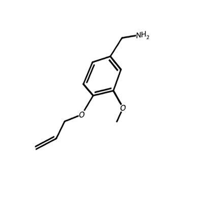 C=CCOc1ccc(CN)cc1OC